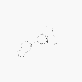 CC1(C)COc2cc(-c3ccc4nsnc4c3)ccc2C1NC(=O)O